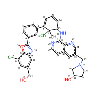 CC1(Cl)C(c2cccc(-c3nc4cc(CO)cc(Cl)c4o3)c2)=CC=CC1Nc1nccc2cc(CN3CC[C@H](O)C3)cnc12